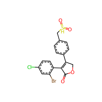 O=C1OCC(c2ccc(C[SH](=O)=O)cc2)=C1c1ccc(Cl)cc1Br